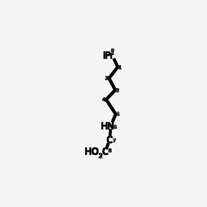 CC(C)CCCCCNCC(=O)O